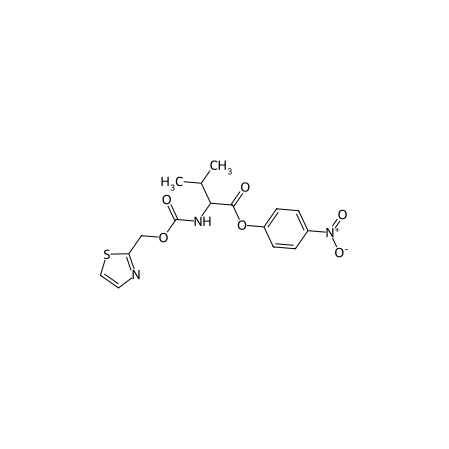 CC(C)C(NC(=O)OCc1nccs1)C(=O)Oc1ccc([N+](=O)[O-])cc1